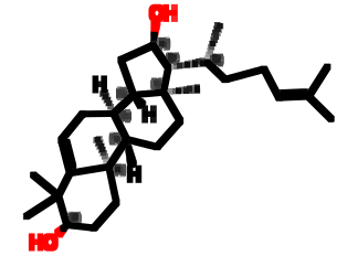 CC(C)=CCC[C@@H](C)[C@H]1[C@H](O)C[C@H]2[C@@H]3CC=C4C(C)(C)[C@H](O)CC[C@]4(C)[C@H]3CC[C@]12C